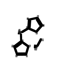 C1=CC[C]([Zr][C]2=CC=CC2)=C1.CBr